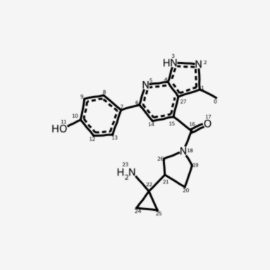 Cc1n[nH]c2nc(-c3ccc(O)cc3)cc(C(=O)N3CCC(C4(N)CC4)C3)c12